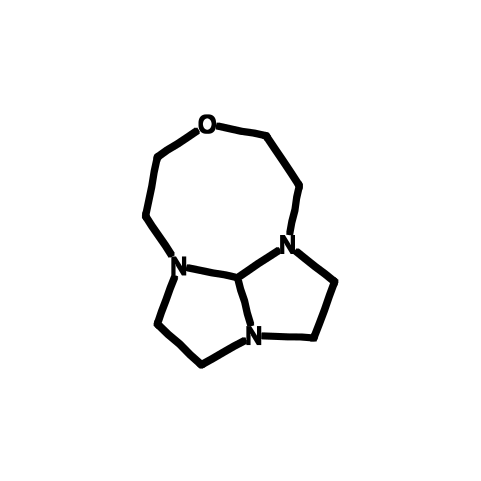 C1CN2CCN3CCN(CCO1)C23